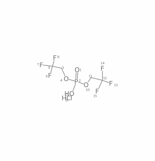 Cl.O=P(O)(OCC(F)(F)F)OCC(F)(F)F